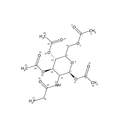 CC(=O)OCC1O[C@@H](OC(C)=O)C(NC(=O)CP)[C@@H](OC(C)=O)[C@@H]1OC(C)=O